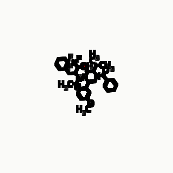 COc1cccc(C2=CN(C(=O)c3ccccc3)C(C(C)C)C(=O)N2N(C(C)=O)C(Cc2ccccc2)C(O)C(F)(F)F)c1